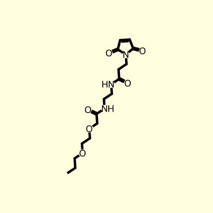 CCCOCCOCC(=O)NCCNC(=O)CCN1C(=O)C=CC1=O